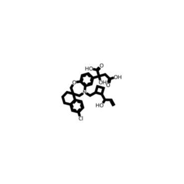 C=CC(O)C1CCC1CN1CC2(CCCc3cc(Cl)ccc32)COc2ccc(C(O)(CC(=O)O)C(=O)O)cc21